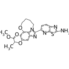 COC(=O)C(C)Oc1cc2c3c(c1)nc(-c1ccc4nc(N)sc4n1)n3CCCCO2